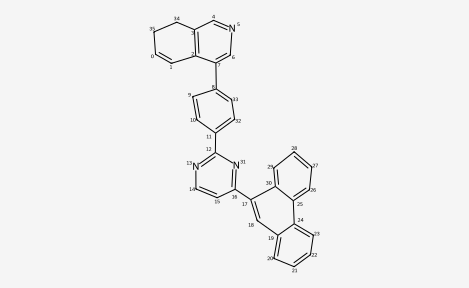 C1=Cc2c(cncc2-c2ccc(-c3nccc(-c4cc5ccccc5c5ccccc45)n3)cc2)CC1